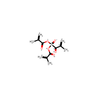 C=C(C)C(=O)[O][Ti](=[O])([O]C(=O)C(=C)C)[C](=O)C(=C)C